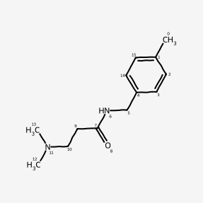 Cc1ccc(CNC(=O)CCN(C)C)cc1